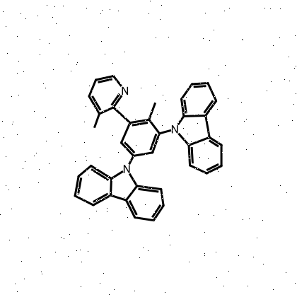 Cc1cccnc1-c1cc(-n2c3ccccc3c3ccccc32)cc(-n2c3ccccc3c3ccccc32)c1C